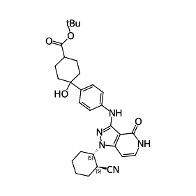 CC(C)(C)OC(=O)C1CCC(O)(c2ccc(Nc3nn([C@H]4CCCC[C@@H]4C#N)c4cc[nH]c(=O)c34)cc2)CC1